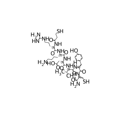 CC(C)[C@H](NC(=O)[C@H](CC(=O)O)NC(=O)[C@H](CCCCN)NC(=O)[C@H](CCCNC(=N)N)NC(=O)CCS)C(=O)N[C@@H](Cc1ccc(O)cc1)C(=O)N[C@@H](CS)C(N)=O